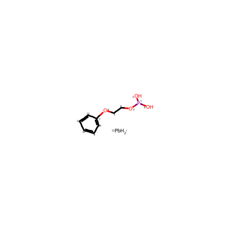 OP(O)OCCOc1ccccc1.[PbH2]